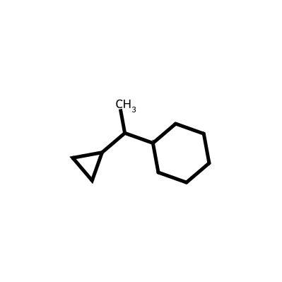 CC([C]1CCCCC1)C1CC1